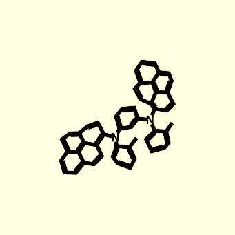 Cc1ccccc1N(c1cccc(N(c2ccccc2C)c2ccc3ccc4cccc5ccc2c3c45)c1)c1ccc2ccc3cccc4ccc1c2c34